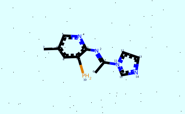 C/C(=N\c1ncc(C)cc1P)n1ccnc1